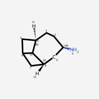 N[C@@H]1CC[C@@H]2CC3C[C@@H](C1)C32